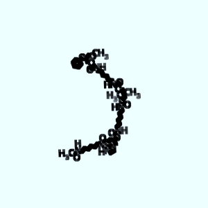 COCC(COC(=O)NCCCCCCNC(=O)OCC(C)(C)COC(=O)NCCCCCCNC(=O)OC(COC(=O)NCCCCCCNC(C)=O)Cn1ccnc1)Oc1ccccc1